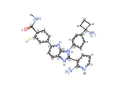 CNC(=O)c1ccc(-c2ccc3nc(-c4cccnc4N)n(-c4ccc(C5(N)CCC5)cc4)c3n2)cc1F